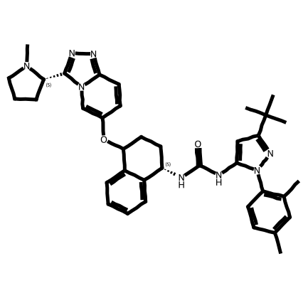 Cc1ccc(-n2nc(C(C)(C)C)cc2NC(=O)N[C@H]2CCC(Oc3ccc4nnc([C@@H]5CCCN5C)n4c3)c3ccccc32)c(C)c1